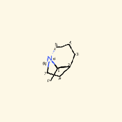 CC1C2C[CH]C[N@@]1CC2